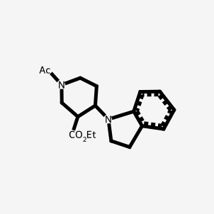 CCOC(=O)C1CN(C(C)=O)CCC1N1CCc2ccccc21